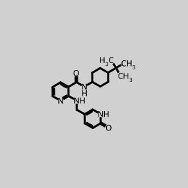 CC(C)(C)C1CCC(NC(=O)c2cccnc2NCc2ccc(=O)[nH]c2)CC1